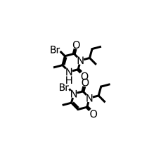 CCC(C)n1c(=O)[nH]c(C)c(Br)c1=O.CCC(C)n1c(=O)cc(C)n(Br)c1=O